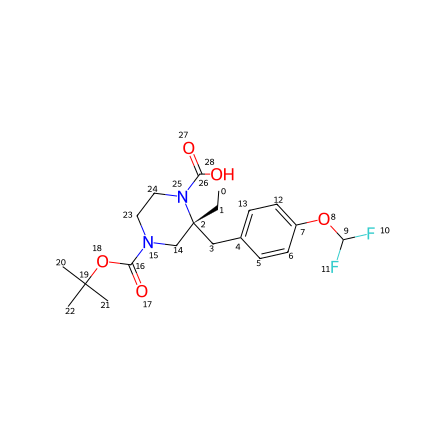 CC[C@@]1(Cc2ccc(OC(F)F)cc2)CN(C(=O)OC(C)(C)C)CCN1C(=O)O